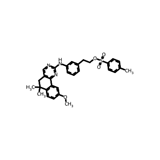 COc1ccc2c(c1)-c1nc(Nc3cccc(CCOS(=O)(=O)c4ccc(C)cc4)c3)ncc1CC2(C)C